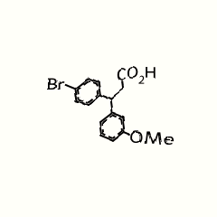 COc1cccc(C(CC(=O)O)c2ccc(Br)cc2)c1